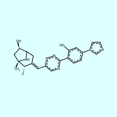 C[C@]12C[C@@H](O)C(C/C(=C\c3cnc(-c4ccc(-n5ccnc5)cc4O)nn3)[C@@H]1F)N2